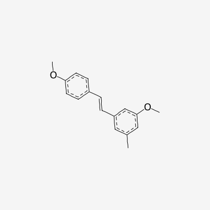 COc1ccc(/C=C/c2cc(C)cc(OC)c2)cc1